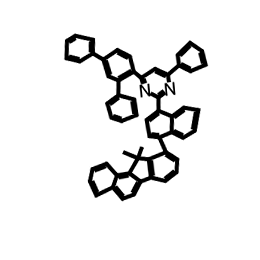 CC1(C)c2c(cccc2-c2ccc(-c3nc(-c4ccccc4)cc(-c4ccc(-c5ccccc5)cc4-c4ccccc4)n3)c3ccccc23)-c2ccc3ccccc3c21